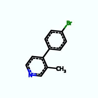 Cc1cnccc1-c1ccc(Br)cc1